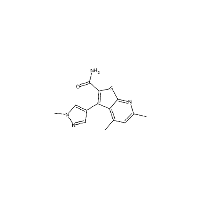 Cc1cc(C)c2c(-c3cnn(C)c3)c(C(N)=O)sc2n1